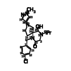 CC(C)N1CC(=O)N(Cc2ccc(Cl)cc2)C2(CCN(c3cnn(C)c3)C2)C1O